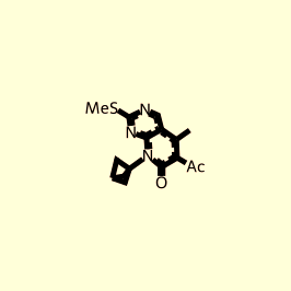 CSc1ncc2c(C)c(C(C)=O)c(=O)n(C34CC(C3)C4)c2n1